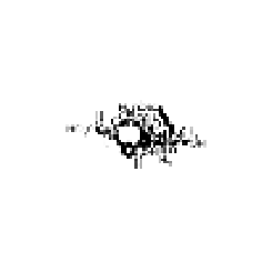 CCCCCCCCCCCCCCCC(=O)N(C)[C@H](CCO)C(=O)N[C@H](N)C(=O)NCC(=O)N(C)[C@@H]1C(=O)N[C@@H](C)C(=O)N[C@H](C(=O)NCC(O)C(=O)O)Cc2ccc(O)c(c2)-c2cc1ccc2O